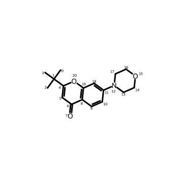 CC(C)(C)c1cc(=O)c2ccc(N3CCOCC3)cc2o1